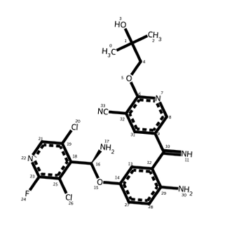 CC(C)(O)COc1ncc(C(=N)c2cc(O[C@H](N)c3c(Cl)cnc(F)c3Cl)ccc2N)cc1C#N